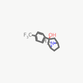 CN1C2CCC1CC(O)(c1ccc(C(F)(F)F)cc1)C2